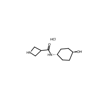 Cl.O=C(N[C@H]1CC[C@H](O)CC1)C1CNC1